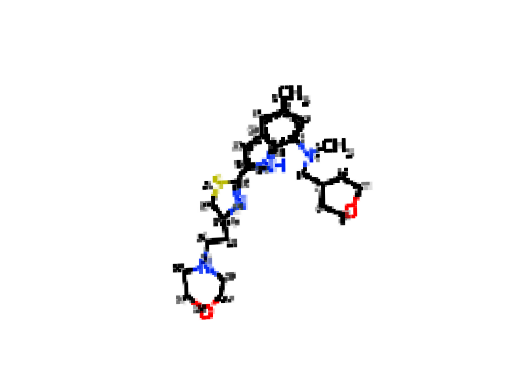 Cc1cc(N(C)CC2CCOCC2)c2[nH]c(C3=N[C@@H](CCN4CCOCC4)CS3)cc2c1